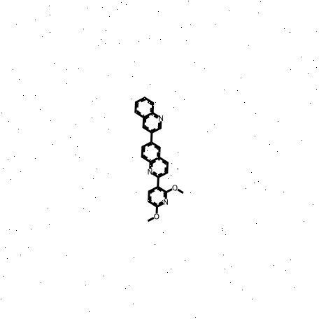 COc1ccc(-c2ccc3cc(-c4cnc5ccccc5c4)ccc3n2)c(OC)n1